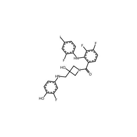 O=C(c1ccc(F)c(F)c1Nc1ccc(I)cc1F)N1CC(O)(CNc2ccc(O)c(F)c2)C1